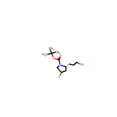 CC(C)(C)OC(=O)N1C[C@H](F)C[C@H]1CCCO